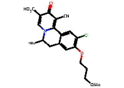 COCCCOc1cc2c(cc1Cl)-c1c(C#N)c(=O)c(C(=O)O)cn1C(C(C)(C)C)C2